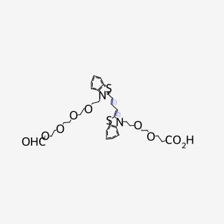 O=COCCOCCOCCOCC[n+]1c(/C=C/C=C2\Sc3ccccc3N2CCOCCOCCC(=O)O)sc2ccccc21